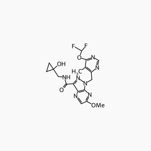 COc1cnc2c(C(=O)NCC3(O)CC3)nn(Cc3ncnc(OC(F)F)c3C)c2n1